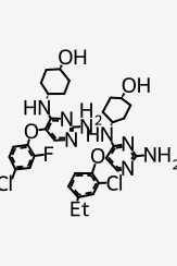 CCc1ccc(Oc2cnc(N)nc2N[C@H]2CC[C@H](O)CC2)c(Cl)c1.Nc1ncc(Oc2ccc(Cl)cc2F)c(N[C@H]2CC[C@H](O)CC2)n1